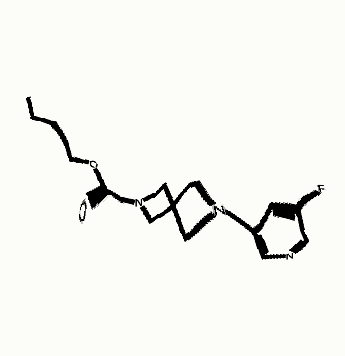 CCCCOC(=O)N1CC2(C1)CN(c1cncc(F)c1)C2